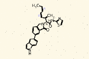 C=C(/C=C\C=C/C)[C@@H](C(=O)Nc1nccs1)N1Cc2ccc(-c3ccc4[nH]ccc4c3)cc2C1=O